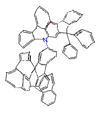 c1ccc(-c2ccccc2N(c2ccc3c(c2)C(c2ccccc2)(c2ccccc2)c2ccccc2-3)c2ccc3c(c2)C2(c4ccccc4-3)c3ccccc3-c3cccc4ccc(-c5cccc6ccccc56)c2c34)cc1